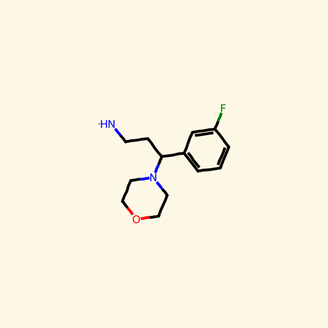 [NH]CCC(c1cccc(F)c1)N1CCOCC1